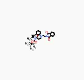 CC(C)(C)OC(=O)N(C1CCN(CCN2C(=O)c3ccccc3C2=O)CC1)[C@]1(C)C[C@H]1c1ccccc1